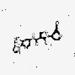 N#Cc1cc(NC(=O)c2cnn(-c3ccnc4c(=O)c34)c2C(F)(F)F)cnc1N1N=CCN1